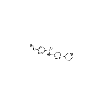 CCOc1ccc(C(=O)Nc2ccc(C3CCCNC3)cc2)cn1